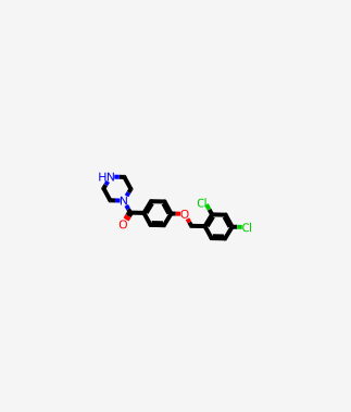 O=C(c1ccc(OCc2ccc(Cl)cc2Cl)cc1)N1CCNCC1